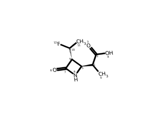 CC(C(=O)O)[C@H]1NC(=O)[C@@H]1C(C)F